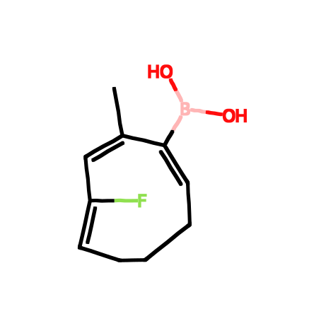 CC1=C/C(F)=C/CCC/C=C\1B(O)O